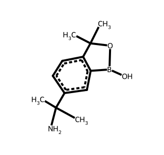 CC(C)(N)c1ccc2c(c1)B(O)OC2(C)C